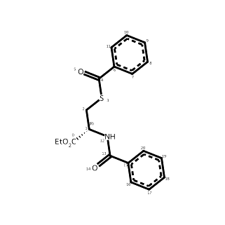 CCOC(=O)[C@H](CSC(=O)c1ccccc1)NC(=O)c1ccccc1